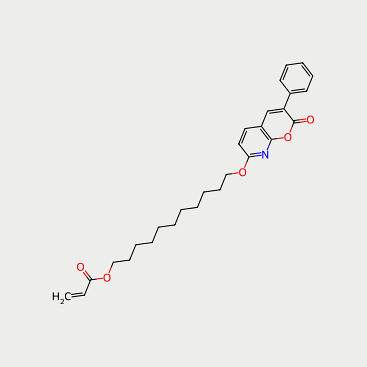 C=CC(=O)OCCCCCCCCCCCOc1ccc2cc(-c3ccccc3)c(=O)oc2n1